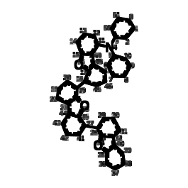 c1ccc(N(c2ccccc2)c2cccc3oc4c(-c5cccc6c5oc5c(-c7cccc8c7oc7ccccc78)cccc56)cccc4c23)cc1